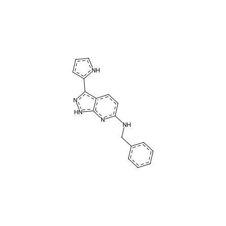 c1ccc(CNc2ccc3c(-c4ccc[nH]4)n[nH]c3n2)cc1